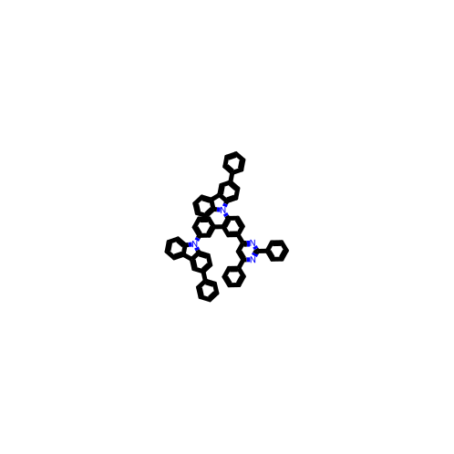 c1ccc(-c2ccc3c(c2)c2ccccc2n3-c2cccc(-c3cc(-c4cc(-c5ccccc5)nc(-c5ccccc5)n4)ccc3-n3c4ccccc4c4cc(-c5ccccc5)ccc43)c2)cc1